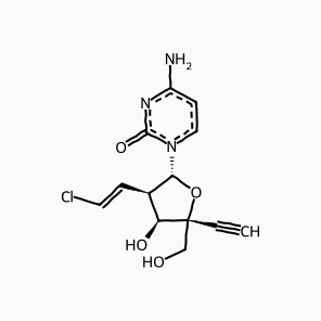 C#C[C@]1(CO)O[C@@H](n2ccc(N)nc2=O)[C@H](C=CCl)[C@@H]1O